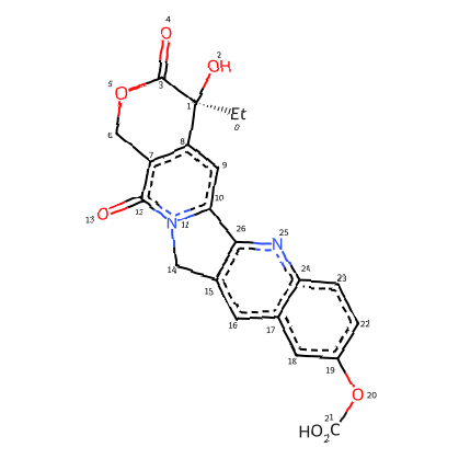 CC[C@@]1(O)C(=O)OCc2c1cc1n(c2=O)Cc2cc3cc(OC(=O)O)ccc3nc2-1